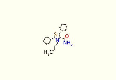 CCCCN1C(C(N)=O)=C(c2ccccc2)SC1c1ccccc1